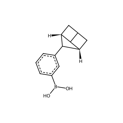 OB(O)c1cccc(C2[C@H]3CC4C[C@@H]2C43)c1